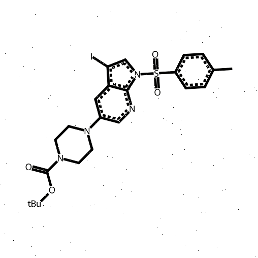 Cc1ccc(S(=O)(=O)n2cc(I)c3cc(N4CCN(C(=O)OC(C)(C)C)CC4)cnc32)cc1